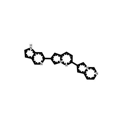 c1cc2cc(-c3ccc4cc(-c5cc6[nH]ccc6cn5)cn4n3)cn2cn1